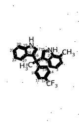 Cc1cccc2c(C(C)(c3ccc(C(F)(F)F)cc3)c3c[nH]c4ccccc34)c[nH]c12